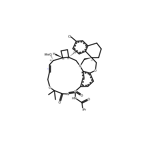 CO[C@H]1/C=C/COC(C)(C)C(=O)N=S(=O)(NC(=O)C(C)C)c2ccc3c(c2)N(C[C@@H]2CC[C@H]21)C[C@@]1(CCCc2cc(Cl)ccc21)CO3